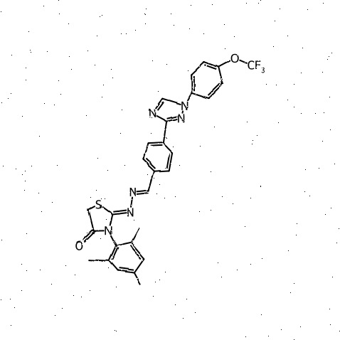 Cc1cc(C)c(N2C(=O)CS/C2=N\N=C\c2ccc(-c3ncn(-c4ccc(OC(F)(F)F)cc4)n3)cc2)c(C)c1